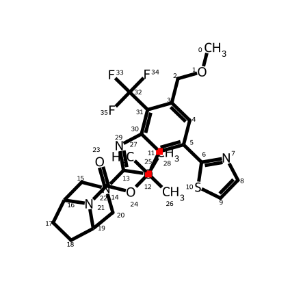 COCc1cc(-c2nccs2)c2oc(N3CC4CCC(C3)N4C(=O)OC(C)(C)C)nc2c1C(F)(F)F